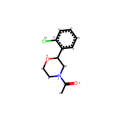 CC(=O)N1CCOC(c2ccccc2Cl)C1